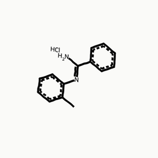 Cc1ccccc1/N=C(\N)c1ccccc1.Cl